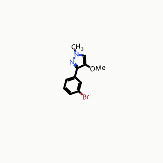 COc1cn(C)nc1-c1cccc(Br)c1